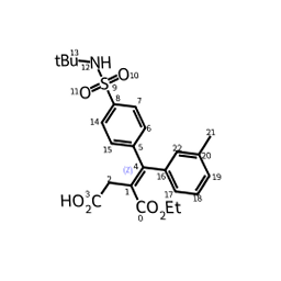 CCOC(=O)/C(CC(=O)O)=C(/c1ccc(S(=O)(=O)NC(C)(C)C)cc1)c1cccc(C)c1